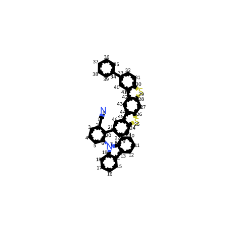 N#Cc1cccc(-n2c3ccccc3c3ccccc32)c1-c1ccc2sc3cc4sc5ccc(-c6ccccc6)cc5c4cc3c2c1